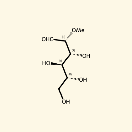 CO[C@@H](C=O)[C@H](O)[C@H](O)[C@H](O)CO